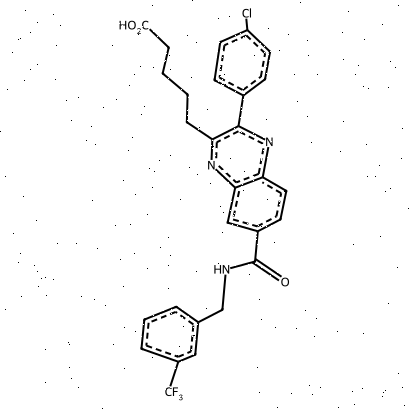 O=C(O)CCCCc1nc2cc(C(=O)NCc3cccc(C(F)(F)F)c3)ccc2nc1-c1ccc(Cl)cc1